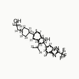 Cc1cc(-c2[nH]c3ccc(C4CCN(CC(C)(C)O)CC4)cc3c2C(C)C)cn2nc(C(F)(F)F)nc12